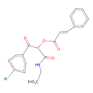 CCOC(=O)CNC(=O)C(OC(=O)/C=C/c1ccccc1)C(=O)c1ccc(Br)cc1